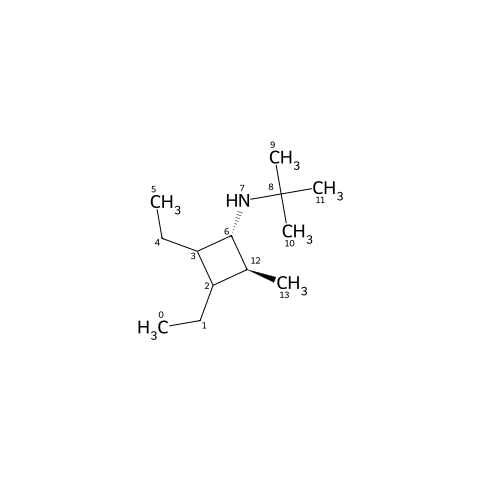 CCC1C(CC)[C@H](NC(C)(C)C)[C@H]1C